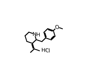 COc1ccc(CC2NCCCC2=C(C)C)cc1.Cl